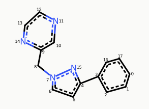 c1ccc(-c2ccn(Cc3cnccn3)n2)cc1